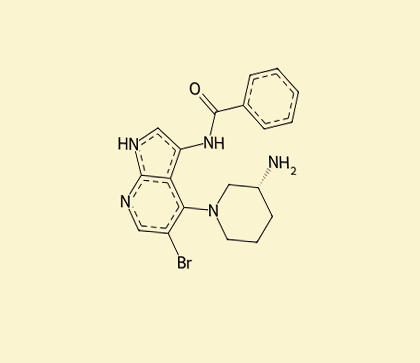 N[C@@H]1CCCN(c2c(Br)cnc3[nH]cc(NC(=O)c4ccccc4)c23)C1